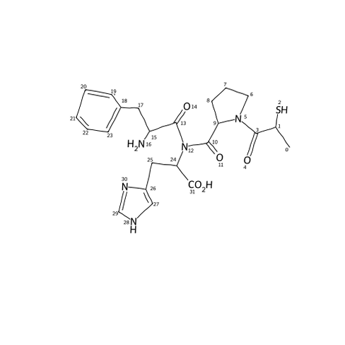 CC(S)C(=O)N1CCCC1C(=O)N(C(=O)C(N)Cc1[c]cccc1)C(Cc1c[nH]cn1)C(=O)O